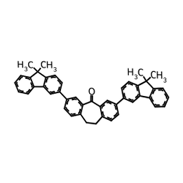 CC1(C)c2ccccc2-c2cc(-c3ccc4c(c3)C(=O)c3cc(-c5ccc6c(c5)-c5ccccc5C6(C)C)ccc3CC4)ccc21